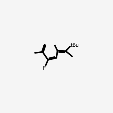 C=C(C)/C(F)=C\C(C)=C(/C)C(C)(C)C